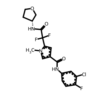 Cn1cc(C(=O)Nc2ccc(F)c(Cl)c2)cc1C(F)(F)C(=O)N[C@@H]1CCOC1